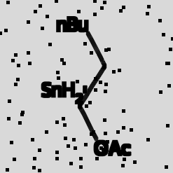 CCCCCCOC(C)=O.[SnH2]